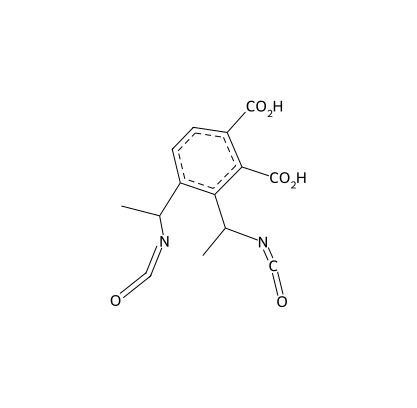 CC(N=C=O)c1ccc(C(=O)O)c(C(=O)O)c1C(C)N=C=O